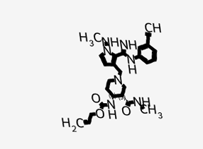 C#Cc1cccc(NC(=N)c2c(CN3CC[C@@H](NC(=O)OCC=C)[C@@H](C(=O)NC)C3)ccn2NC)c1